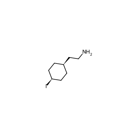 NCC[C@H]1CC[C@@H](I)CC1